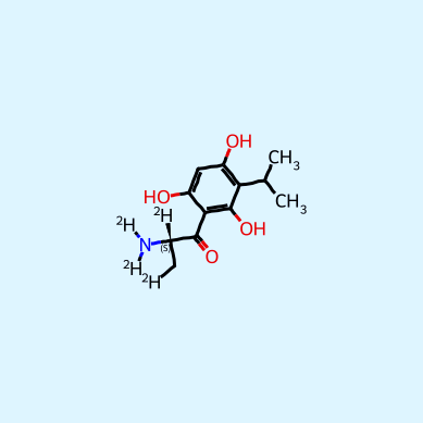 [2H]C[C@@]([2H])(C(=O)c1c(O)cc(O)c(C(C)C)c1O)N([2H])[2H]